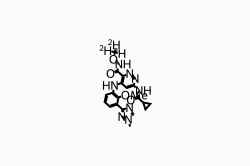 [2H]C([2H])([2H])ONC(=O)c1nnc(NC(=O)C2CC2)cc1Nc1cccc(-c2ncn(C)n2)c1OC